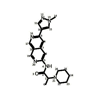 CC(C(=O)Nc1cc2cc(-c3cnn(C)c3)ncc2cn1)N1CCCCC1